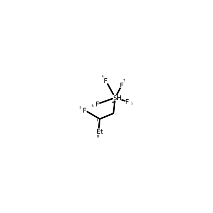 CCC(F)C[SH](F)(F)(F)F